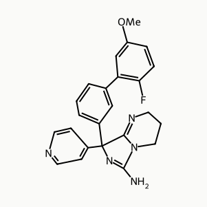 COc1ccc(F)c(-c2cccc(C3(c4ccncc4)N=C(N)N4CCCN=C43)c2)c1